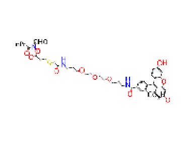 CCCC(=O)N(C=O)OC(=O)CCSCC(=O)NCCCOCCOCCOCCCNC(=O)c1ccc(-c2c3ccc(=O)cc-3oc3cc(O)ccc23)c(C(=O)O)c1